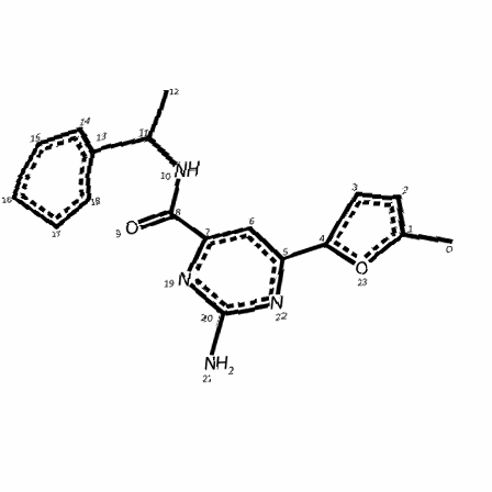 Cc1ccc(-c2cc(C(=O)NC(C)c3ccccc3)nc(N)n2)o1